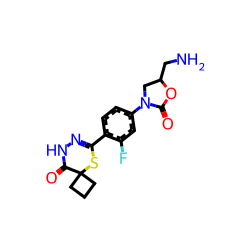 NCC1CN(c2ccc(C3=NNC(=O)C4(CCC4)S3)c(F)c2)C(=O)O1